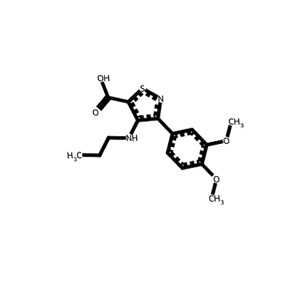 CCCNc1c(-c2ccc(OC)c(OC)c2)nsc1C(=O)O